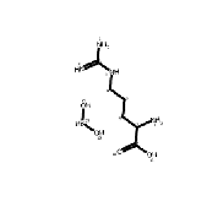 N=C(N)NCCCC(N)C(=O)O.OBO